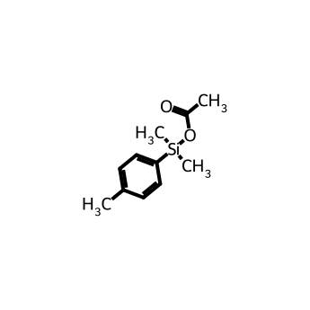 CC(=O)O[Si](C)(C)c1ccc(C)cc1